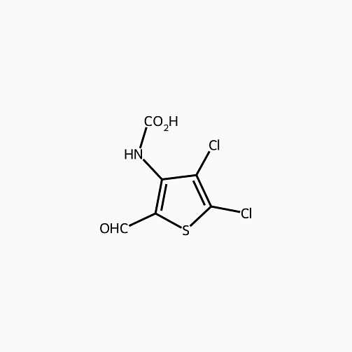 O=Cc1sc(Cl)c(Cl)c1NC(=O)O